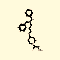 CC(C)(C)OC(=O)N1CCC(OCCCN(Cc2ccccc2)Cc2ccccc2)CC1